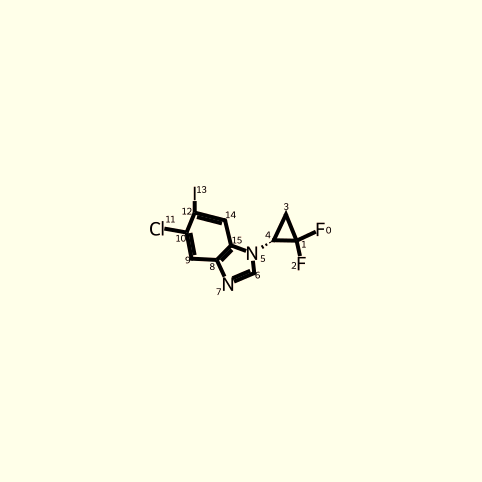 FC1(F)C[C@H]1n1cnc2cc(Cl)c(I)cc21